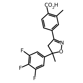 Cc1cc(C2=NOC(C)(c3cc(F)c(F)c(F)c3)C2)ccc1C(=O)O